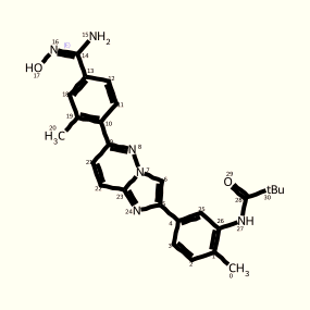 Cc1ccc(-c2cn3nc(-c4ccc(/C(N)=N\O)cc4C)ccc3n2)cc1NC(=O)C(C)(C)C